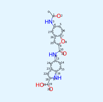 CC(=O)Nc1ccc2oc(C(=O)Nc3ccc4[nH]c(C(=O)O)cc4c3)cc2c1